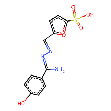 NC(=NN=Cc1ccc(S(=O)(=O)O)o1)c1ccc(O)cc1